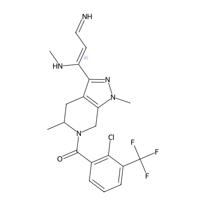 CN/C(=C\C=N)c1nn(C)c2c1CC(C)N(C(=O)c1cccc(C(F)(F)F)c1Cl)C2